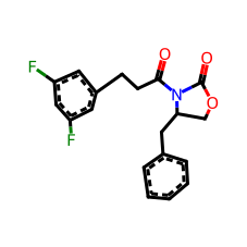 O=C(CCc1cc(F)cc(F)c1)N1C(=O)OCC1Cc1ccccc1